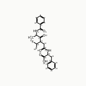 CC(NC(=O)c1ccccc1)C(=O)C(CC(=O)N[C@@H](Cc1ccccc1)C(=O)O)C(F)F